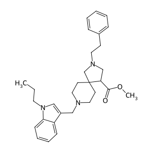 CCCn1cc(CN2CCC3(CC2)CN(CCc2ccccc2)CC3C(=O)OC)c2ccccc21